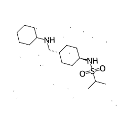 CC(C)S(=O)(=O)N[C@H]1CC[C@H](CNC2CCCCC2)CC1